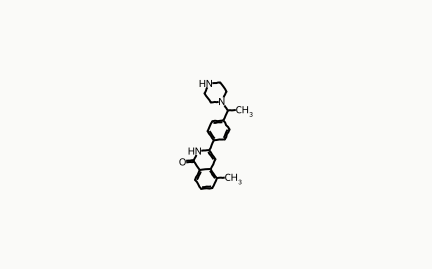 Cc1cccc2c(=O)[nH]c(-c3ccc(C(C)N4CCNCC4)cc3)cc12